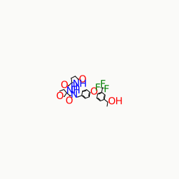 CC(O)c1ccc(Oc2ccc(CNC(=O)C3(NC(=O)C4CCC(=O)N4)CCOC3)cc2)c(C(F)(F)F)c1